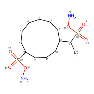 CCC(C1CCCCCCC(S(=O)(=O)ON)CCC1)S(=O)(=O)ON